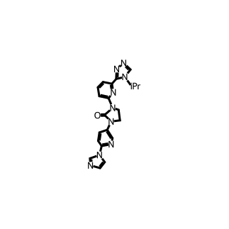 CC(C)n1cnnc1-c1cccc(N2CCN(c3ccc(-n4ccnc4)nc3)C2=O)n1